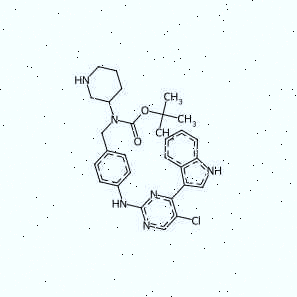 CC(C)(C)OC(=O)N(Cc1ccc(Nc2ncc(Cl)c(-c3c[nH]c4ccccc34)n2)cc1)C1CCCNC1